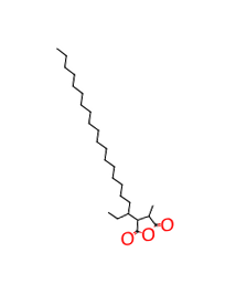 CCCCCCCCCCCCCCCCCCC(CC)C1C(=O)OC(=O)C1C